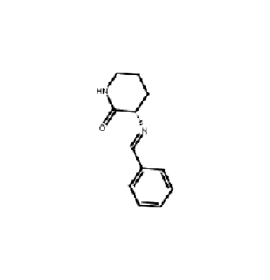 O=C1NCCC[C@@H]1N=Cc1ccccc1